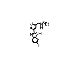 CCSNCc1cc(-c2nc3ccc(F)cc3[nH]2)cnn1